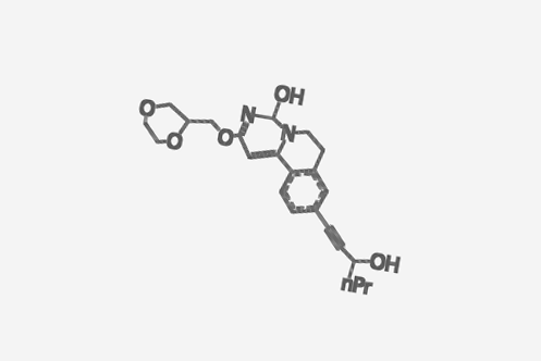 CCCC(O)C#Cc1ccc2c(c1)CCN1C2=CC(OCC2COCCO2)=NC1O